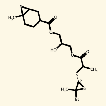 CCC1(C)S[C@H]1CC(C)C(=O)OCC(O)COC(=O)C1CCC2(C)SC2C1